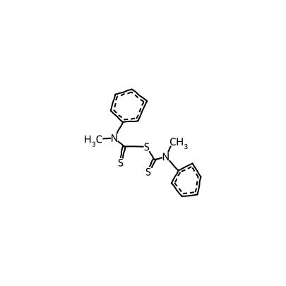 CN(C(=S)SC(=S)N(C)c1ccccc1)c1ccccc1